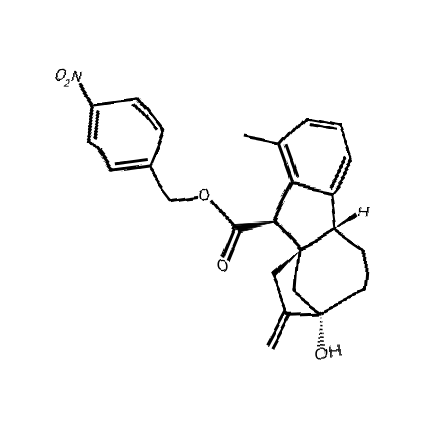 C=C1C[C@]23C[C@@]1(O)CC[C@H]2c1cccc(C)c1[C@@H]3C(=O)OCc1ccc([N+](=O)[O-])cc1